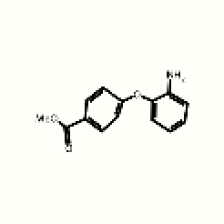 COC(=O)c1ccc(Oc2ccccc2N)cc1